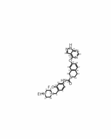 CCN1CCN(Cc2ccc(NC(=O)N3CCc4ccc(Oc5ncnc6[nH]ncc56)cc4C3)cc2C(F)(F)F)CC1